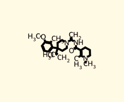 C=C(NC(=O)C1=C(C)N(C)CCC1)N1CCC(C(=C)C)(c2c(Cl)ccc(OC)c2C)CC1